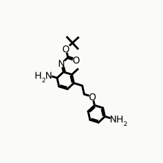 CC1=C(CCOc2cccc(N)c2)C=CC(N)C1=NC(=O)OC(C)(C)C